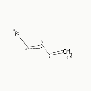 C=CC=CF